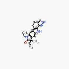 CCN1C(=O)C(C)(C)c2cc3[nH]c4c(c3cc21)CCc1c[nH]nc1-4